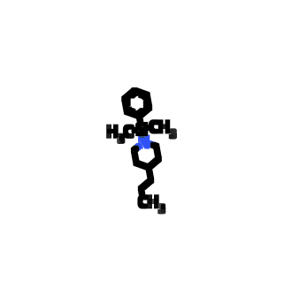 CCCC1CCN([Si](C)(C)c2ccccc2)CC1